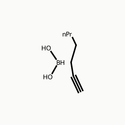 C#CCCCCC.OBO